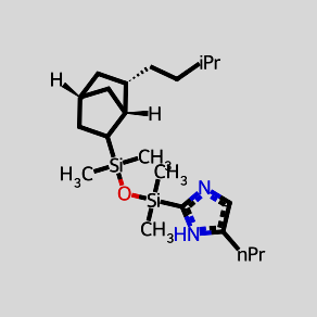 CCCc1cnc([Si](C)(C)O[Si](C)(C)C2C[C@@H]3C[C@H](CCC(C)C)[C@H]2C3)[nH]1